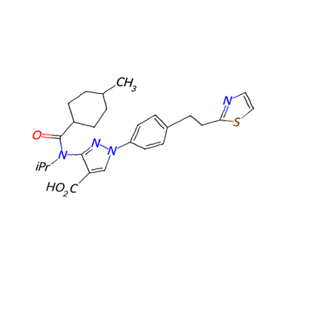 CC1CCC(C(=O)N(c2nn(-c3ccc(CCc4nccs4)cc3)cc2C(=O)O)C(C)C)CC1